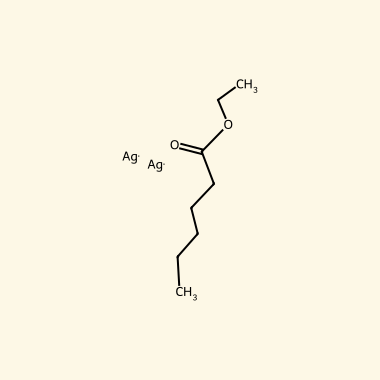 CCCCCC(=O)OCC.[Ag].[Ag]